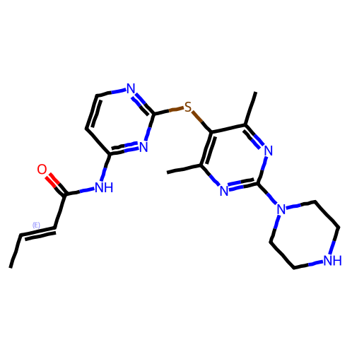 C/C=C/C(=O)Nc1ccnc(Sc2c(C)nc(N3CCNCC3)nc2C)n1